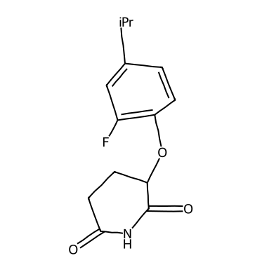 CC(C)c1ccc(OC2CCC(=O)NC2=O)c(F)c1